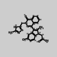 Cc1nnc(Cn2nc(-c3c(C)n(CC(=O)O)c4ccc(Cl)cc34)c3ccccc3c2=O)[nH]1